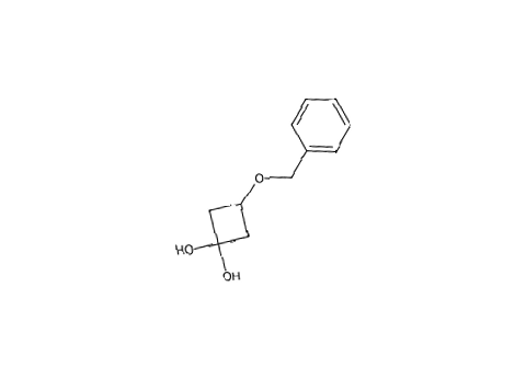 OC1(O)CC(OCc2ccccc2)C1